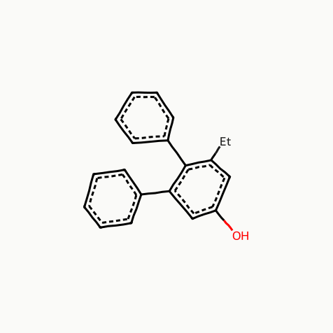 CCc1cc(O)cc(-c2ccccc2)c1-c1ccccc1